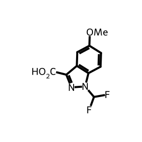 COc1ccc2c(c1)c(C(=O)O)nn2C(F)F